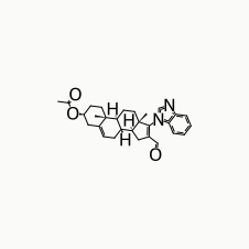 CC(=O)O[C@H]1CC[C@@]2(C)C(=CC[C@@H]3[C@@H]2CC[C@]2(C)C(n4cnc5ccccc54)=C(C=O)C[C@@H]32)C1